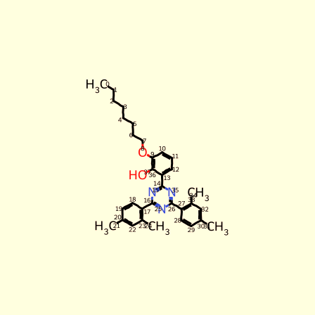 CCCCCCCCOc1cccc(-c2nc(-c3ccc(C)cc3C)nc(-c3ccc(C)cc3C)n2)c1O